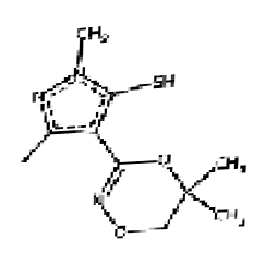 Cn1nc(I)c(C2=NOCC(C)(C)O2)c1S